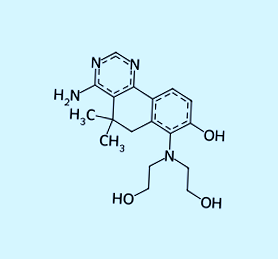 CC1(C)Cc2c(ccc(O)c2N(CCO)CCO)-c2ncnc(N)c21